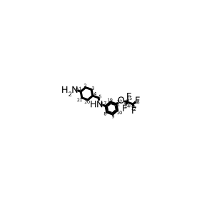 NC1CCC(CNc2cccc(OC(F)(F)C(F)F)c2)CC1